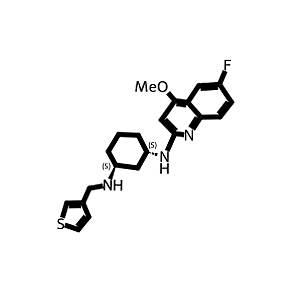 COc1cc(N[C@H]2CCC[C@H](NCc3ccsc3)C2)nc2ccc(F)cc12